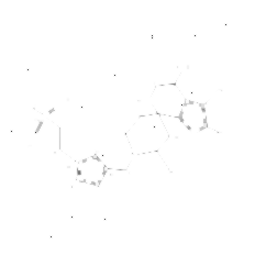 Cc1c(Cl)sc2c1C(O)COC21CCN(Cc2cnn(CCS(C)(=O)=O)c2)C(C)C1